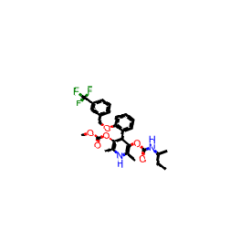 CCC(C)NC(=O)OC1=C(C)NC(C)=C(OC(=O)OC)C1c1ccccc1OCc1cccc(C(F)(F)F)c1